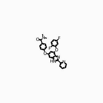 CN(C)C(=O)c1ccc(Oc2cc(Oc3cc(F)ccc3F)c3nc(-c4ccccn4)[nH]c3c2)cc1